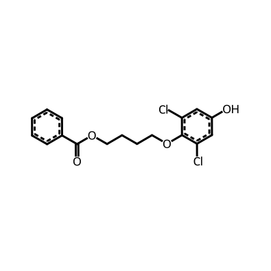 O=C(OCCCCOc1c(Cl)cc(O)cc1Cl)c1ccccc1